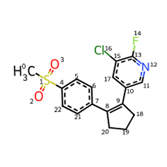 CS(=O)(=O)c1ccc(C2=C(c3cnc(F)c(Cl)c3)CCC2)cc1